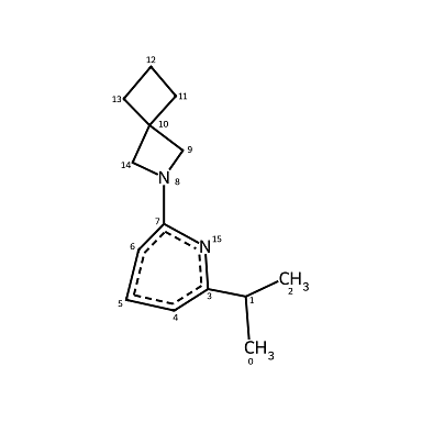 CC(C)c1cccc(N2CC3(CCC3)C2)n1